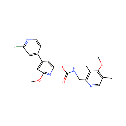 COc1cc(-c2ccnc(Cl)c2)cc(OC(=O)NCc2ncc(C)c(OC)c2C)n1